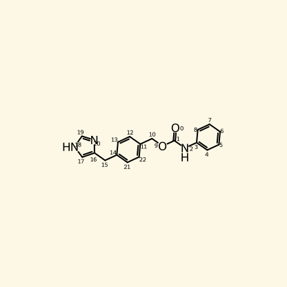 O=C(Nc1ccccc1)OCc1ccc(Cc2c[nH]cn2)cc1